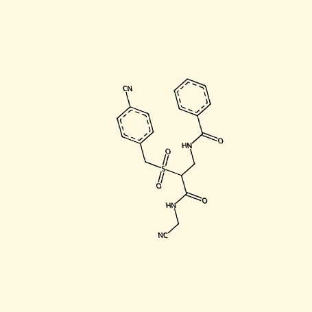 N#CCNC(=O)C(CNC(=O)c1ccccc1)S(=O)(=O)Cc1ccc(C#N)cc1